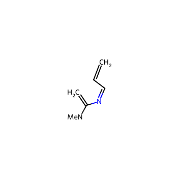 C=C/C=N\C(=C)NC